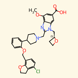 COc1cc(C(=O)O)cc2c1nc(CN1CCC(c3ccccc3OCc3ccc(Cl)c4c3OCC4)CC1)n2C[C@@H]1CCO1